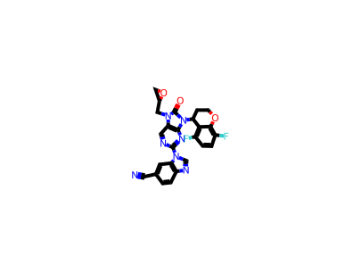 N#Cc1ccc2ncn(-c3ncc4c(n3)n(C3CCOc5c(F)ccc(F)c53)c(=O)n4CC3CO3)c2c1